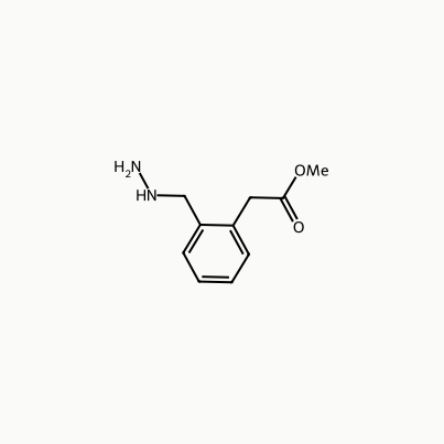 COC(=O)Cc1ccccc1CNN